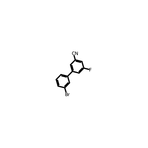 N#Cc1cc(F)cc(-c2cccc(Br)c2)c1